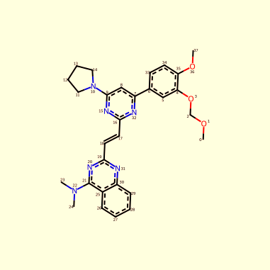 COCOc1cc(-c2cc(N3CCCC3)nc(C=Cc3nc(N(C)C)c4ccccc4n3)n2)ccc1OC